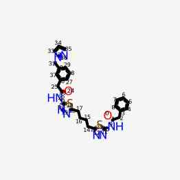 O=C(Cc1ccccc1)Nc1nnc(CCCCc2nnc(NC(=O)Cc3cccc(Cn4cccn4)c3)s2)s1